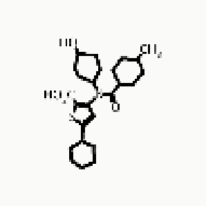 CC1CCC(C(=O)N(c2cc(C3CCCCC3)sc2C(=O)O)C2CCC(O)CC2)CC1